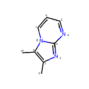 Cc1nc2ncccn2c1C